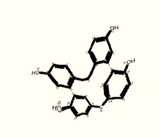 Oc1ccc(Cc2ccc(O)cc2)cc1.Oc1ccc(Sc2ccc(O)cc2)cc1